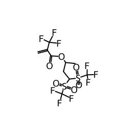 C=C(C(=O)OC(C)CC(S(=O)(=O)C(F)(F)F)S(=O)(=O)C(F)(F)F)C(F)(F)F